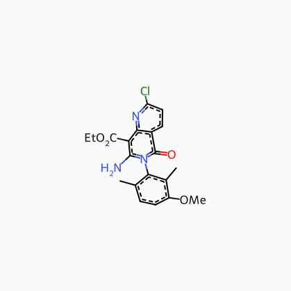 CCOC(=O)c1c(N)n(-c2c(C)ccc(OC)c2C)c(=O)c2ccc(Cl)nc12